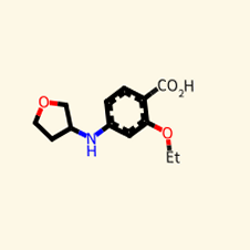 CCOc1cc(NC2CCOC2)ccc1C(=O)O